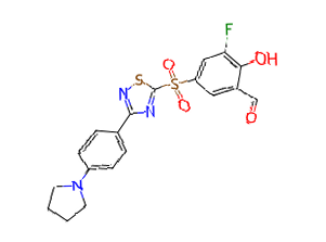 O=Cc1cc(S(=O)(=O)c2nc(-c3ccc(N4CCCC4)cc3)ns2)cc(F)c1O